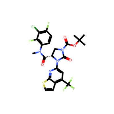 CN(C(=O)[C@@H]1CN(C(=O)OC(C)(C)C)C(=O)N1c1cc(C(F)(F)F)c2ccsc2n1)c1ccc(F)c(Cl)c1F